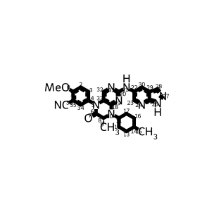 COc1ccc(N2C(=O)[C@@H](C)N(C3CCC(C)CC3)c3nc(Nc4cnc5[nH]ncc5c4)ncc32)cc1C#N